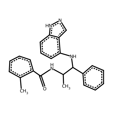 Cc1ccccc1C(=O)NC(C)C(Nc1cccc2[nH]ncc12)c1ccccc1